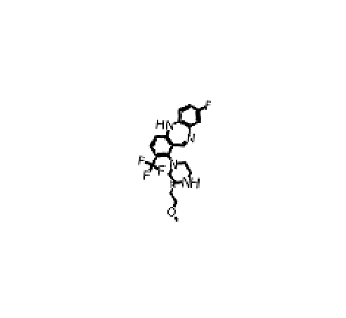 COCC[C@H]1CN(c2c(C(F)(F)F)ccc3c2C=Nc2cc(F)ccc2N3)CCN1